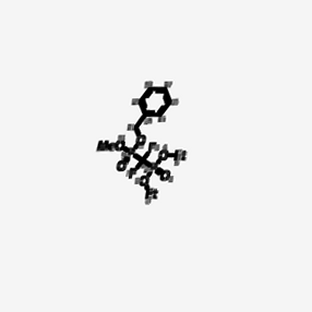 CCOP(=O)(OCC)C(F)(F)P(=O)(OC)OCc1ccccc1